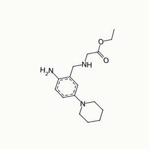 CCOC(=O)CNCc1cc(N2CCCCC2)ccc1N